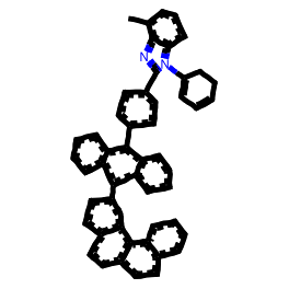 Cc1cccc2c1nc(-c1ccc(-c3c4ccccc4c(-c4ccc5ccc6ccc7ccccc7c6c5c4)c4ccccc34)cc1)n2C1=CC=CCC1